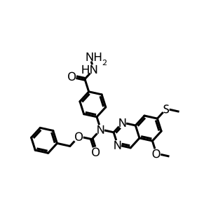 COc1cc(SC)cc2nc(N(C(=O)OCc3ccccc3)c3ccc(C(=O)NN)cc3)ncc12